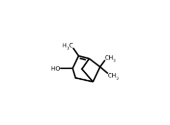 CC1=C2CC(CC1O)C2(C)C